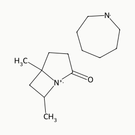 C1CCC[N]CC1.CC1CC2(C)CCC(=O)[N+]12